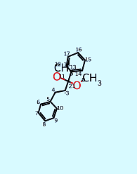 COC([CH]Cc1ccccc1)(OC)c1ccccc1